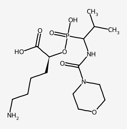 CC(C)C(NC(=O)N1CCOCC1)P(=O)(O)O[C@@H](CCCCN)C(=O)O